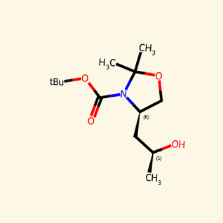 C[C@H](O)C[C@@H]1COC(C)(C)N1C(=O)OC(C)(C)C